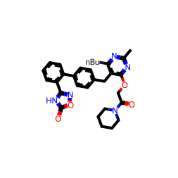 CCCCc1nc(C)nc(OCC(=O)N2CCCCC2)c1Cc1ccc(-c2ccccc2-c2noc(=O)[nH]2)cc1